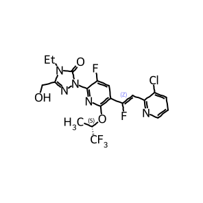 CCn1c(CO)nn(-c2nc(O[C@@H](C)C(F)(F)F)c(/C(F)=C/c3ncccc3Cl)cc2F)c1=O